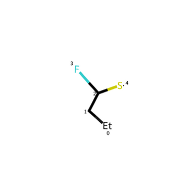 CCCC(F)[S]